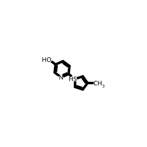 CC1=C[SH](c2ccc(O)cn2)C=C1